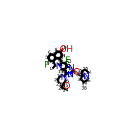 CCc1c(F)ccc2cc(O)cc(-c3ncc4c(N5CCC[C@]6(CCO6)C5)nc(OC[C@@]56CCCN5C[C@H](C)C6)nc4c3F)c12